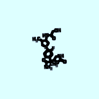 CC1CN(c2ccc(C(C)(C(N)=O)C3CNC(=O)O3)cc2F)CC1NC(=O)CO